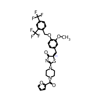 COc1cc(/C=C2/SC(N3CCN(C(=O)c4ccco4)CC3)=NC2=O)ccc1OCc1ccc(C(F)(F)F)cc1C(F)(F)F